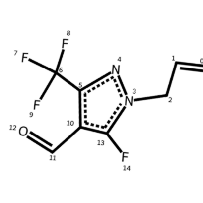 C=CCn1nc(C(F)(F)F)c(C=O)c1F